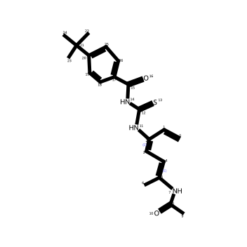 C=C/C(=C\C=C(/C)NC(C)=O)NC(=S)NC(=O)c1ccc(C(C)(C)C)cc1